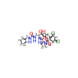 C=C(O)[C@H](CNC(=O)NCc1ccccc1)NC(=O)[C@@H]1CCCN1S(=O)(=O)c1cc(Cl)cc(Cl)c1